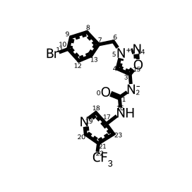 O=C([N-]c1c[n+](Cc2ccc(Br)cc2)no1)Nc1cncc(C(F)(F)F)c1